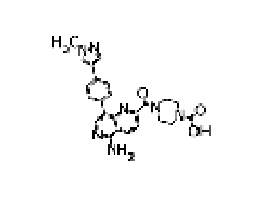 Cn1cc(-c2ccc(-c3cnc(N)c4ccc(C(=O)N5CCN(C(=O)O)CC5)nc34)cc2)cn1